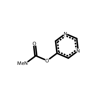 CNC(=O)Oc1cncnc1